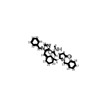 CNC(=O)C[C@]1(C[C@@H]2CCC(=O)N2Cc2ccccc2)CCCC(=Cc2cncn2Cc2ccccc2)C1